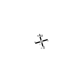 C[Si](C)([Ti])[Au]